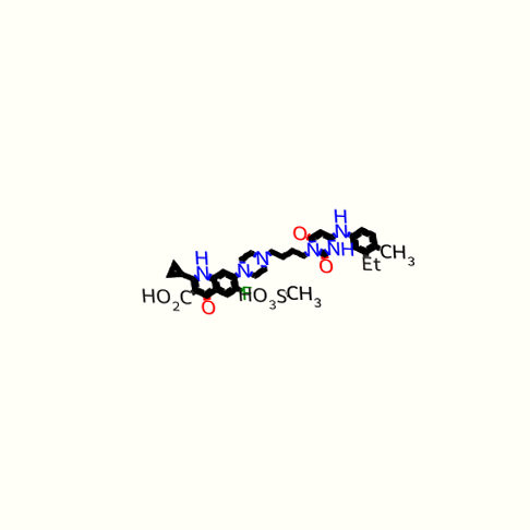 CCc1cc(Nc2cc(=O)n(CCCCN3CCN(c4cc5[nH]c(C6CC6)c(C(=O)O)c(=O)c5cc4F)CC3)c(=O)[nH]2)ccc1C.CS(=O)(=O)O